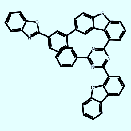 c1ccc(-c2nc(-c3cccc4c3oc3ccccc34)nc(-c3cccc4sc5ccc(-c6cccc(-c7nc8ccccc8o7)c6)cc5c34)n2)cc1